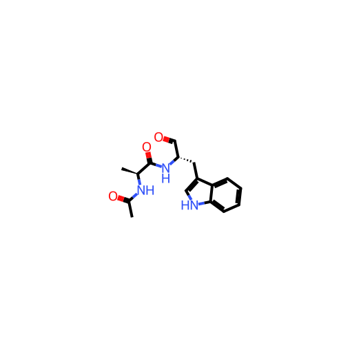 CC(=O)N[C@@H](C)C(=O)N[C@H](C=O)Cc1c[nH]c2ccccc12